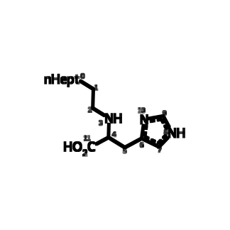 CCCCCCCCCNC(Cc1c[nH]cn1)C(=O)O